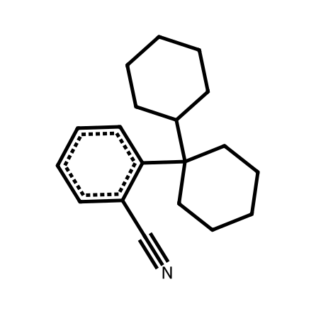 N#Cc1ccccc1C1(C2CCCCC2)CCCCC1